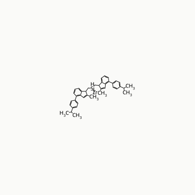 CC1=Cc2c(-c3ccc(C(C)C)cc3)cccc2C1C[SiH]([Zr])CC1C(C)=Cc2c(-c3ccc(C(C)C)cc3)cccc21